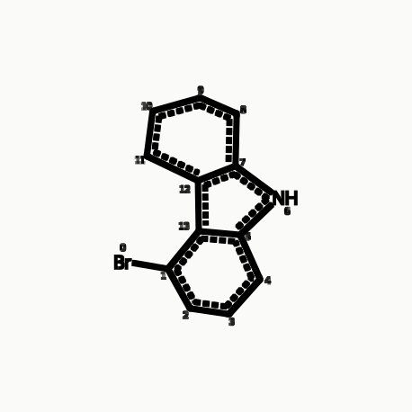 Brc1cccc2[nH]c3ccccc3c12